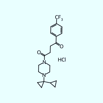 Cl.O=C(CCC(=O)N1CCN(C2(C3CC3)CC2)CC1)c1ccc(C(F)(F)F)cc1